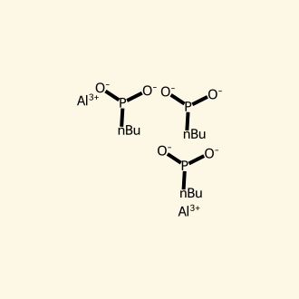 CCCCP([O-])[O-].CCCCP([O-])[O-].CCCCP([O-])[O-].[Al+3].[Al+3]